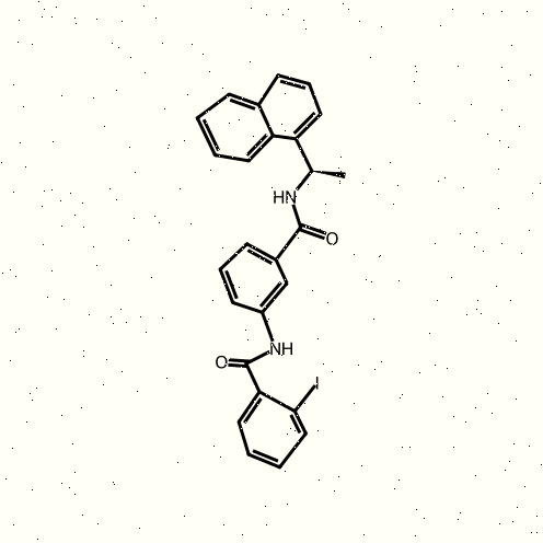 C[C@@H](NC(=O)c1cccc(NC(=O)c2ccccc2I)c1)c1cccc2ccccc12